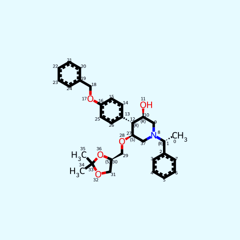 C[C@H](c1ccccc1)N1C[C@H](O)[C@@H](c2ccc(OCc3ccccc3)cc2)[C@H](OC[C@H]2COC(C)(C)O2)C1